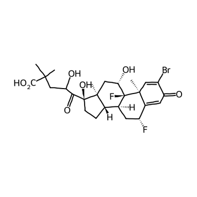 CC(C)(CC(O)C(=O)[C@@]1(O)CC[C@H]2[C@@H]3C[C@@H](F)C4=CC(=O)C(Br)=C[C@]4(C)[C@@]3(F)[C@@H](O)C[C@@]21C)C(=O)O